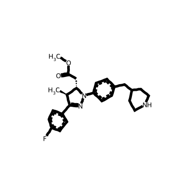 COC(=O)C[C@H]1[C@H](C)C(c2ccc(F)cc2)=NN1c1ccc(CC2CCNCC2)cc1